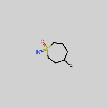 CCC1CCCS(=N)(=O)CC1